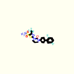 NS(=O)(=O)c1sc(N2CCCN(c3ccc(-c4cc(F)ccc4F)cc3)C2=O)nc1C(F)(F)F